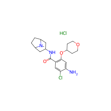 CN1C2CCC1CC(NC(=O)c1cc(Cl)c(N)cc1OC1CCOCC1)C2.Cl